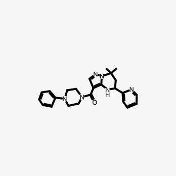 CC1(C)CC(c2ccccn2)Nc2c(C(=O)N3CCN(c4ccccc4)CC3)cnn21